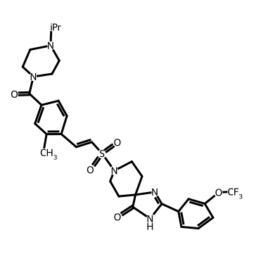 Cc1cc(C(=O)N2CCN(C(C)C)CC2)ccc1C=CS(=O)(=O)N1CCC2(CC1)N=C(c1cccc(OC(F)(F)F)c1)NC2=O